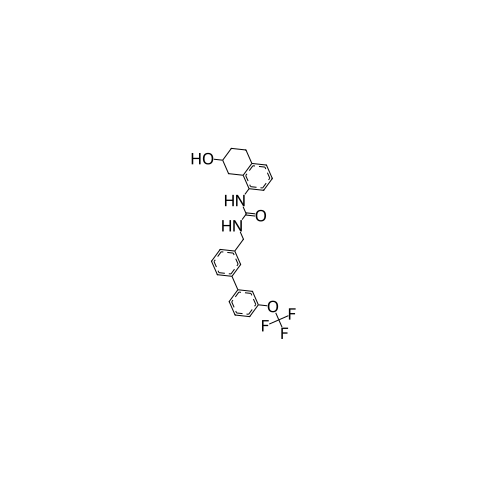 O=C(NCc1cccc(-c2cccc(OC(F)(F)F)c2)c1)Nc1cccc2c1CC(O)CC2